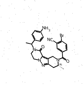 CC(c1ccc(N)cc1)N1CCn2nc3c(c2C1=O)CN(C(=O)c1ccc(Br)c(C#N)c1)[C@H](C)C3